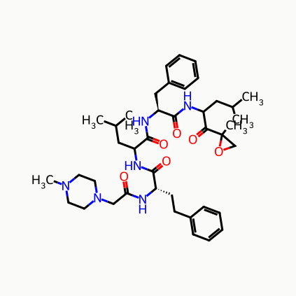 CC(C)CC(NC(=O)[C@H](CCc1ccccc1)NC(=O)CN1CCN(C)CC1)C(=O)N[C@@H](Cc1ccccc1)C(=O)NC(CC(C)C)C(=O)C1(C)CO1